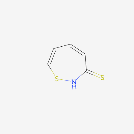 S=C1C=CC=CSN1